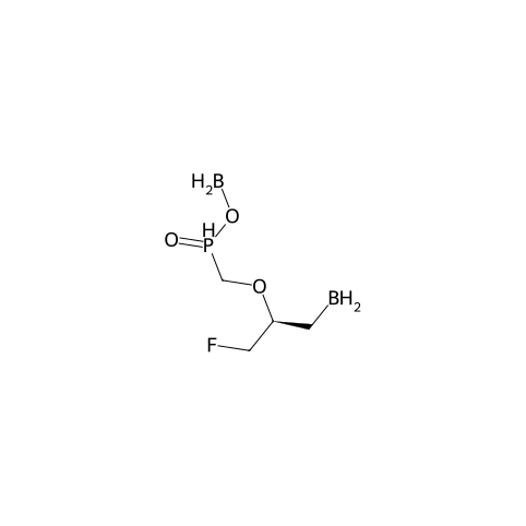 BC[C@@H](CF)OC[PH](=O)OB